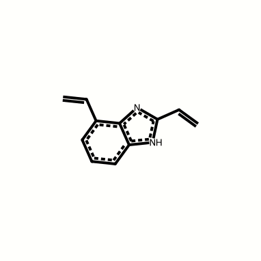 C=Cc1nc2c(C=C)cccc2[nH]1